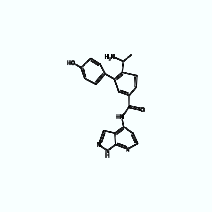 CC(N)c1ccc(C(=O)Nc2ccnc3[nH]ncc23)cc1-c1ccc(O)cc1